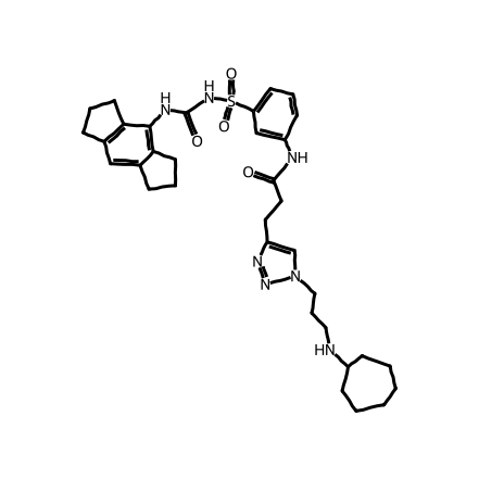 O=C(CCc1cn(CCCNC2CCCCCC2)nn1)Nc1cccc(S(=O)(=O)NC(=O)Nc2c3c(cc4c2CCC4)CCC3)c1